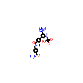 NC(=O)c1ccc(CNC(=O)c2ccc(-c3cc(Nc4c(O)c(=O)c4=O)cc(-c4nn[nH]n4)c3)cc2)cc1